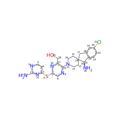 Nc1nccc(Sc2cnc(N3CCC4(CC3)Cc3cc(Cl)ccc3[C@H]4N)c(CO)n2)n1